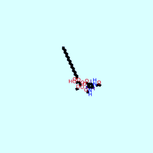 CCCCCCCCCCCCCCCCCC(=O)OC(CO)C(OOC(=O)c1c(I)c(NCC(C)=O)c(I)c(NC(C)=O)c1I)C(=O)OCC